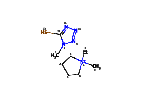 CC[N+]1(C)CCCC1.Cn1nnnc1S